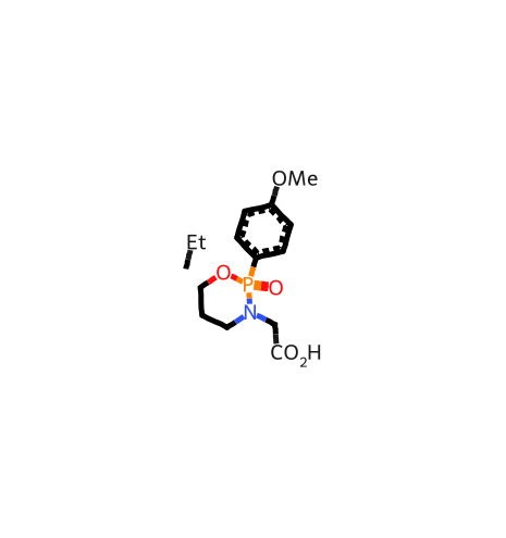 CCC.COc1ccc(P2(=O)OCCCN2CC(=O)O)cc1